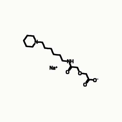 O=C([O-])COCC(=O)NCCCCCCN1CCCCC1.[Na+]